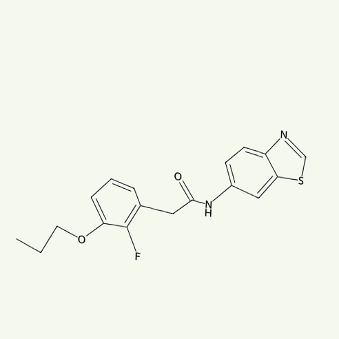 CCCOc1cccc(CC(=O)Nc2ccc3ncsc3c2)c1F